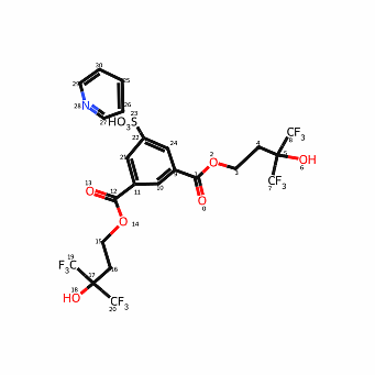 O=C(OCCC(O)(C(F)(F)F)C(F)(F)F)c1cc(C(=O)OCCC(O)(C(F)(F)F)C(F)(F)F)cc(S(=O)(=O)O)c1.c1ccncc1